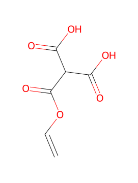 C=COC(=O)C(C(=O)O)C(=O)O